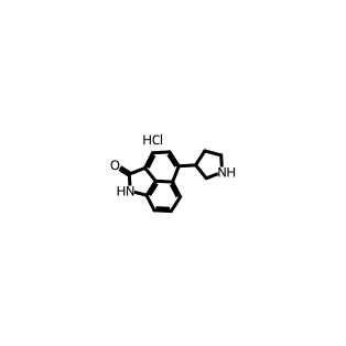 Cl.O=C1Nc2cccc3c(C4CCNC4)ccc1c23